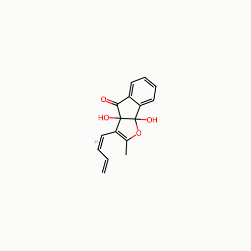 C=C/C=C\C1=C(C)OC2(O)c3ccccc3C(=O)C12O